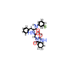 CN(C(=O)C(Cc1ccccc1)NC(=O)CN1C(=O)NC2(CCCCC2)C1=O)c1cccc(F)c1